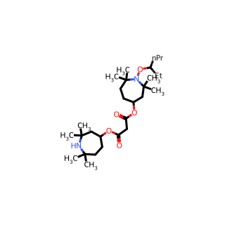 CCCC(CC)ON1C(C)(C)CCC(OC(=O)CC(=O)OC2CCC(C)(C)NC(C)(C)C2)CC1(C)C